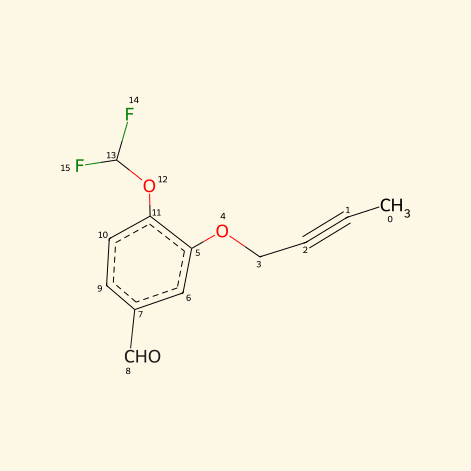 CC#CCOc1cc(C=O)ccc1OC(F)F